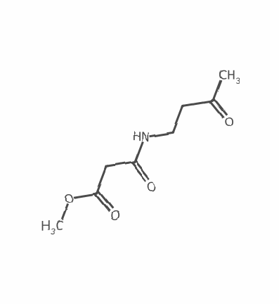 COC(=O)CC(=O)NCCC(C)=O